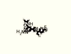 CCC(C)NC(=O)c1cc(-c2cnn(C(CC)c3ccc(C(F)F)nc3)c2)cn2nc(N)nc12